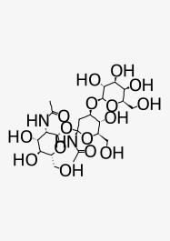 CC(=O)N[C@@H]1[C@H](O[C@]2(NC(C)=O)C[C@@H](O[C@@H]3O[C@H](CO)[C@H](O)[C@H](O)[C@H]3O)[C@H](O)[C@@H](CO)O2)O[C@H](CO)[C@@H](O)[C@@H]1O